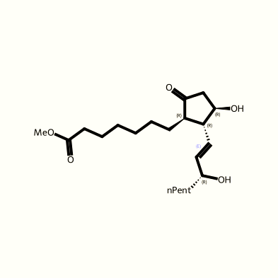 CCCCC[C@@H](O)/C=C/[C@H]1[C@H](O)CC(=O)[C@@H]1CCCCCCC(=O)OC